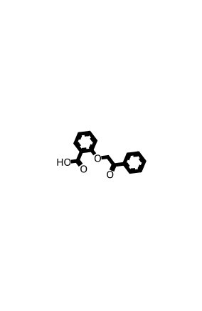 O=C(COc1ccccc1C(=O)O)c1ccccc1